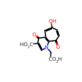 O=C(O)Cn1cc(C(=O)O)c(=O)c2cc(O)ccc(=O)c21